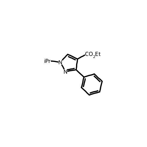 CCOC(=O)c1cn(C(C)C)nc1-c1ccccc1